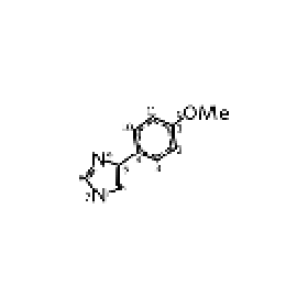 COc1ccc(C2=C[N]C=N2)cc1